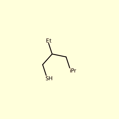 CCC(CS)CC(C)C